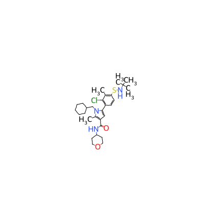 Cc1c(SNC(C)(C)C)ccc(-c2cc(C(=O)NC3CCOCC3)c(C)n2CC2CCCCC2)c1Cl